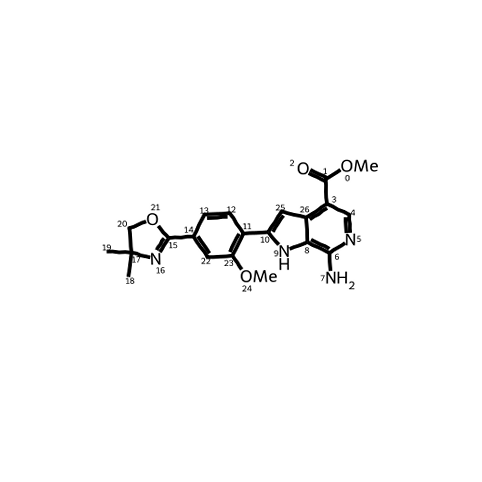 COC(=O)c1cnc(N)c2[nH]c(-c3ccc(C4=NC(C)(C)CO4)cc3OC)cc12